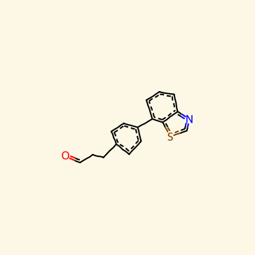 O=CCCc1ccc(-c2cccc3ncsc23)cc1